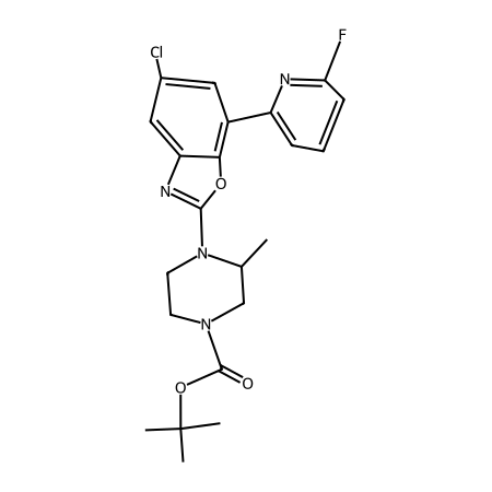 CC1CN(C(=O)OC(C)(C)C)CCN1c1nc2cc(Cl)cc(-c3cccc(F)n3)c2o1